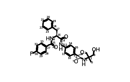 CC(C)(CO)NS(=O)(=O)c1ccc(NC(=O)[C@H](Cc2ccccc2)NC(=O)c2ccc(F)cc2)cc1